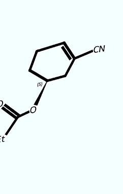 CCC(=O)O[C@H]1CCC=C(C#N)C1